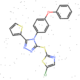 Clc1cnc(Sc2nnc(-c3cccs3)n2-c2ccc(Oc3ccccc3)cc2)s1